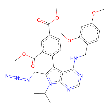 COC(=O)c1ccc(-c2c(CN=[N+]=[N-])n(C(C)C)c3ncnc(NCc4ccc(OC)cc4OC)c23)c(C(=O)OC)c1